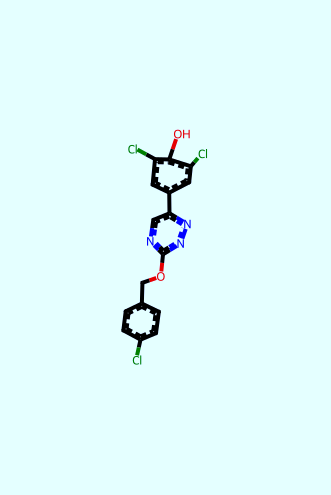 Oc1c(Cl)cc(-c2cnc(OCc3ccc(Cl)cc3)nn2)cc1Cl